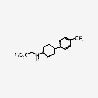 O=C(O)CNC1CCC(c2ccc(C(F)(F)F)cc2)CC1